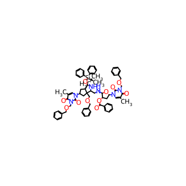 Cc1cn(C2CC(CO[Si](c3ccccc3)(c3ccccc3)C(C)(C)C)C(COCc3ccccc3)(C(N)CNC3OC(n4cc(C)c(=O)n(COCc5ccccc5)c4=O)CC3OC(=O)c3ccccc3)C2)c(=O)n(COCc2ccccc2)c1=O